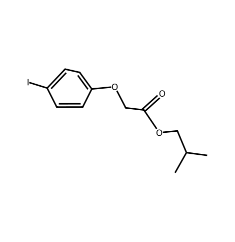 CC(C)COC(=O)COc1ccc(I)cc1